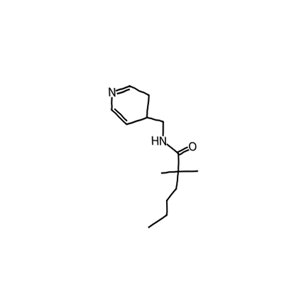 CCCCC(C)(C)C(=O)NCC1C=CN=CC1